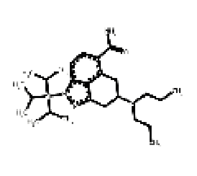 CCCN(CCC)C1Cc2nn([Si](C(C)C)(C(C)C)C(C)C)c3ccc(C(N)=O)c(c23)C1